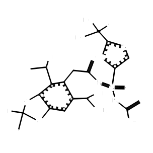 CC(C)c1cc2c(c(C(C)C)c1CC(=O)N=S(=O)(NC(=O)O)c1cnc(C(C)(C)O)s1)OC(F)(F)O2